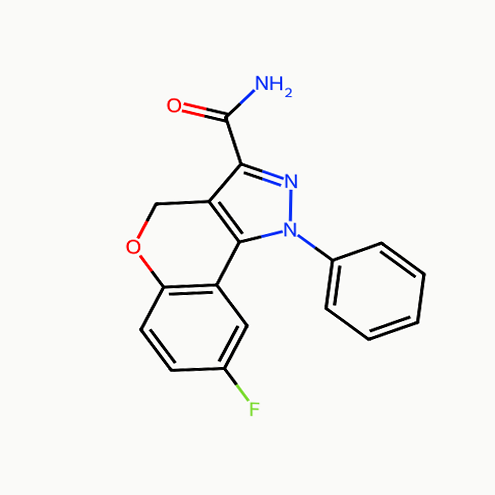 NC(=O)c1nn(-c2ccccc2)c2c1COc1ccc(F)cc1-2